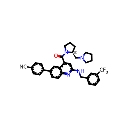 N#Cc1ccc(-c2ccc3nc(NCc4cccc(C(F)(F)F)c4)cc(C(=O)N4CCC[C@H]4CN4CCCC4)c3c2)cc1